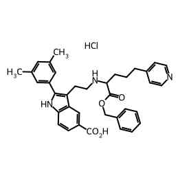 Cc1cc(C)cc(-c2[nH]c3ccc(C(=O)O)cc3c2CCNC(CCCc2ccncc2)C(=O)OCc2ccccc2)c1.Cl